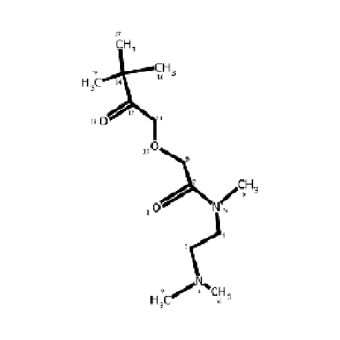 CN(C)CCN(C)C(=O)COCC(=O)C(C)(C)C